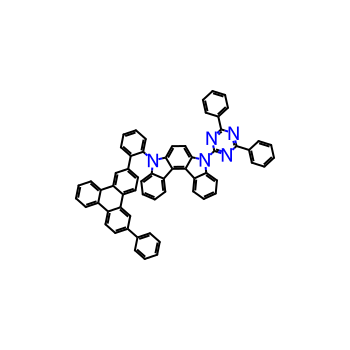 c1ccc(-c2ccc3c4ccccc4c4cc(-c5ccccc5-n5c6ccccc6c6c7c8ccccc8n(-c8nc(-c9ccccc9)nc(-c9ccccc9)n8)c7ccc65)ccc4c3c2)cc1